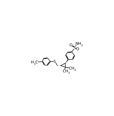 Cc1ccc(SC[C@@H]2[C@@H](c3ccc(S(N)(=O)=O)cc3)C2(C)C)cc1